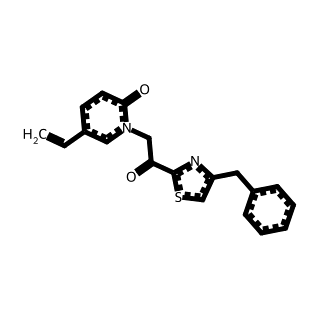 C=Cc1ccc(=O)n(CC(=O)c2nc(Cc3ccccc3)cs2)c1